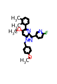 COc1ccc(Cn2nc(-c3ccc(F)nc3)c3nc(-c4cccc(C)c4C)c(OC)cc32)cc1